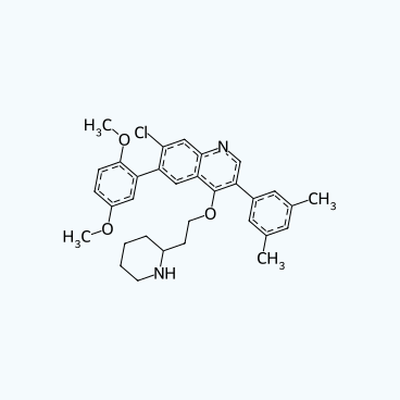 COc1ccc(OC)c(-c2cc3c(OCCC4CCCCN4)c(-c4cc(C)cc(C)c4)cnc3cc2Cl)c1